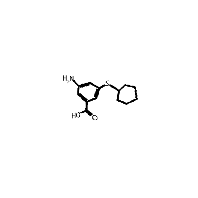 Nc1cc(SC2CCCCC2)cc(C(=O)O)c1